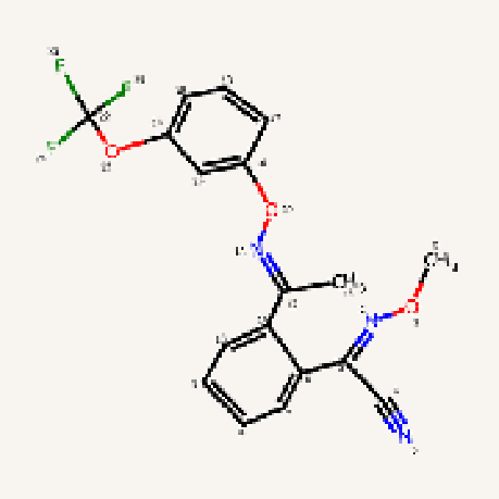 CON=C(C#N)c1ccccc1C(C)=NOc1cccc(OC(F)(F)F)c1